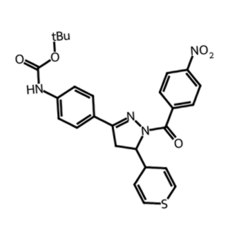 CC(C)(C)OC(=O)Nc1ccc(C2=NN(C(=O)c3ccc([N+](=O)[O-])cc3)C(C3C=CSC=C3)C2)cc1